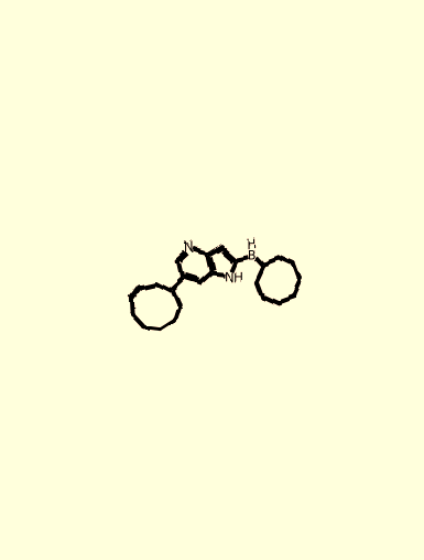 B(c1cc2ncc(C3CCCCCCCC3)cc2[nH]1)C1CCCCCCC1